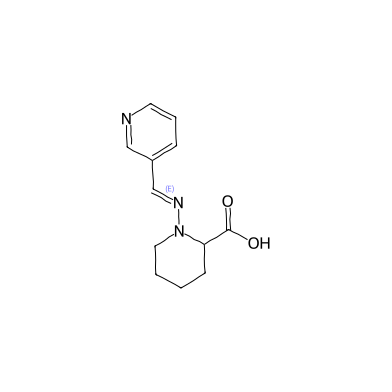 O=C(O)C1CCCCN1/N=C/c1cccnc1